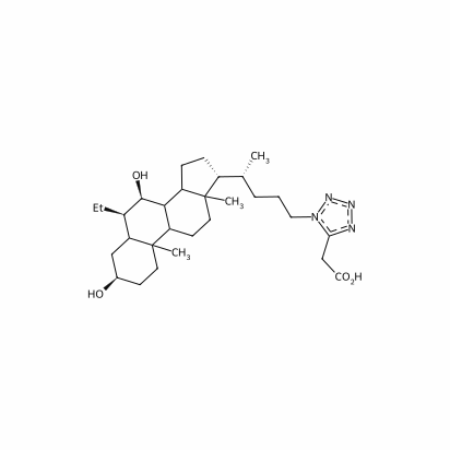 CC[C@@H]1C2C[C@H](O)CCC2(C)C2CCC3(C)C(CC[C@@H]3[C@H](C)CCCn3nnnc3CC(=O)O)C2[C@@H]1O